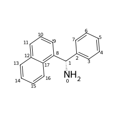 N[C@@H](c1ccccc1)c1[c]ccc2ccccc12